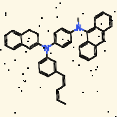 C/C=C\C=C/c1cccc(N(C2=Cc3ccccc3CC2)c2ccc(N(C)c3c4ccccc4cc4ccccc34)cc2)c1